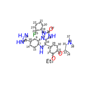 CCOc1cc(C(Nc2ccc(C(=N)N)cc2)c2nn(-c3ccccc3F)c(=O)[nH]2)ccc1OC(C)CN(C)C